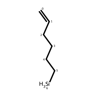 C=CCCCC[SiH3]